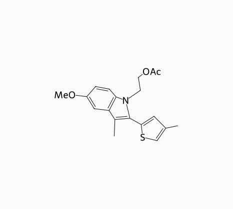 COc1ccc2c(c1)c(C)c(-c1cc(C)cs1)n2CCOC(C)=O